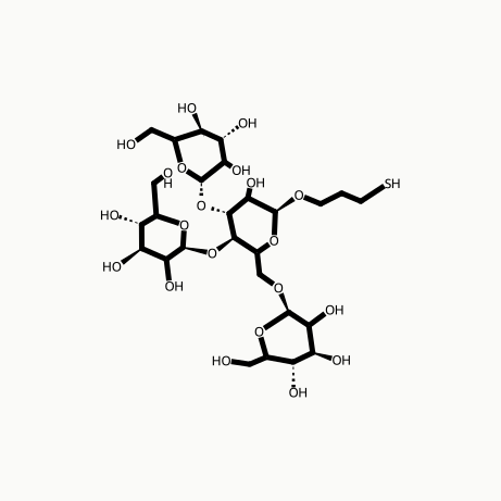 OCC1O[C@@H](OCC2O[C@H](OCCCS)C(O)[C@@H](O[C@@H]3OC(CO)[C@@H](O)[C@H](O)C3O)[C@@H]2O[C@@H]2OC(CO)[C@@H](O)[C@H](O)C2O)C(O)[C@@H](O)[C@@H]1O